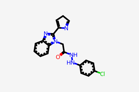 O=C(Cn1c(C2=CCC=N2)nc2ccccc21)NNc1ccc(Cl)cc1